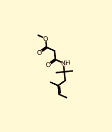 C/C=C(/C)CC(C)(C)NC(=O)CC(=O)OC